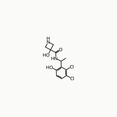 CC(NC(=O)C1(O)CNC1)c1c(O)ccc(Cl)c1Cl